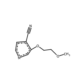 COCCOc1cnccc1C#N